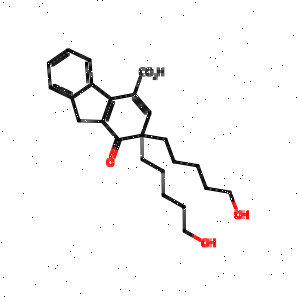 O=C(O)C1=CC(CCCCCO)(CCCCCO)C(=O)C2=C1c1ccccc1C2